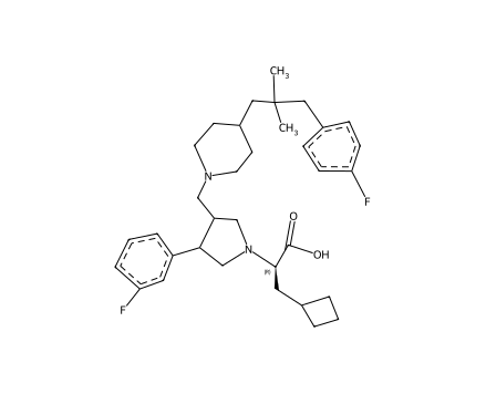 CC(C)(Cc1ccc(F)cc1)CC1CCN(CC2CN([C@H](CC3CCC3)C(=O)O)CC2c2cccc(F)c2)CC1